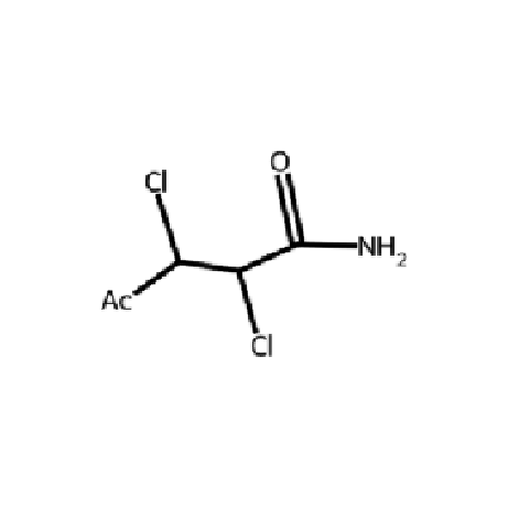 CC(=O)C(Cl)C(Cl)C(N)=O